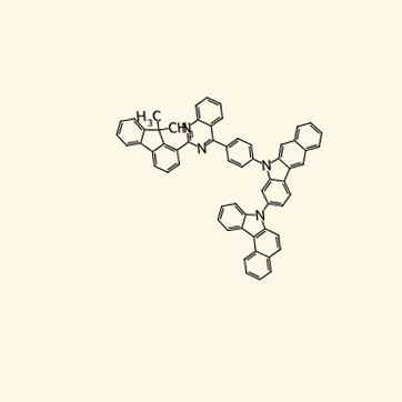 CC1(C)c2ccccc2-c2cccc(-c3nc(-c4ccc(-n5c6cc(-n7c8ccccc8c8c9ccccc9ccc87)ccc6c6cc7ccccc7cc65)cc4)c4ccccc4n3)c21